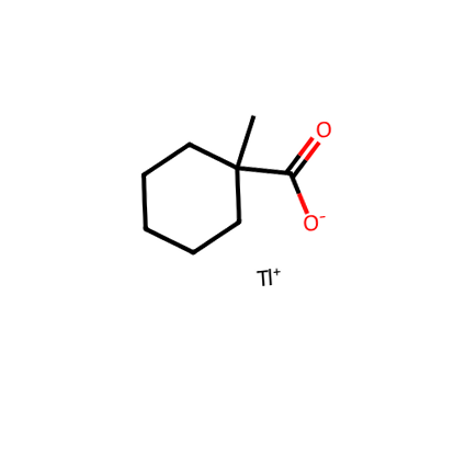 CC1(C(=O)[O-])CCCCC1.[Tl+]